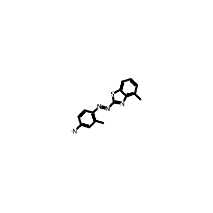 Cc1cc([N])ccc1N=Nc1nc2c(C)cccc2s1